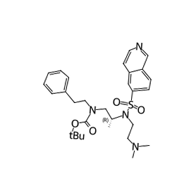 C[C@H](CN(CCc1ccccc1)C(=O)OC(C)(C)C)N(CCN(C)C)S(=O)(=O)c1ccc2cnccc2c1